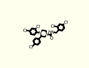 O=C(NCc1ccc(Cl)cc1Cl)N1CCN(c2ccc(Cl)cc2Cl)C(c2ccc(Cl)cc2)C1